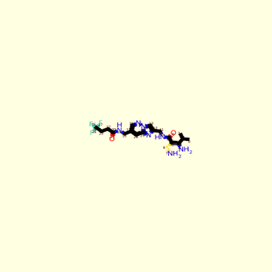 CC(C)/C(N)=C(/SN)C(=O)NCc1cn2ncc(CNC(=O)CCC(F)(F)F)cc2n1